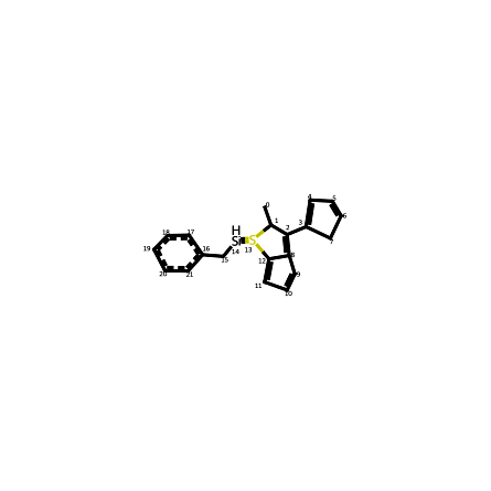 CC1C(C2=CC=CC2)=C2C=CC=C2S1=[SiH]Cc1ccccc1